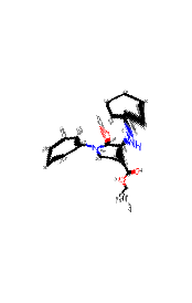 CCOC(=O)C1=C(NC2CCCCC2)C(=O)N(c2ccccc2)C1